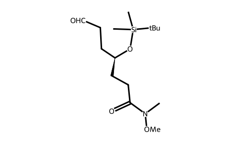 CON(C)C(=O)CC[C@@H](CCC=O)O[Si](C)(C)C(C)(C)C